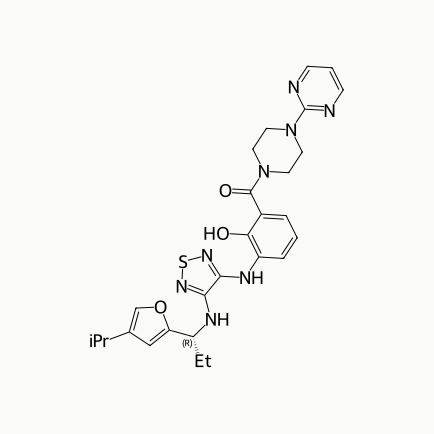 CC[C@@H](Nc1nsnc1Nc1cccc(C(=O)N2CCN(c3ncccn3)CC2)c1O)c1cc(C(C)C)co1